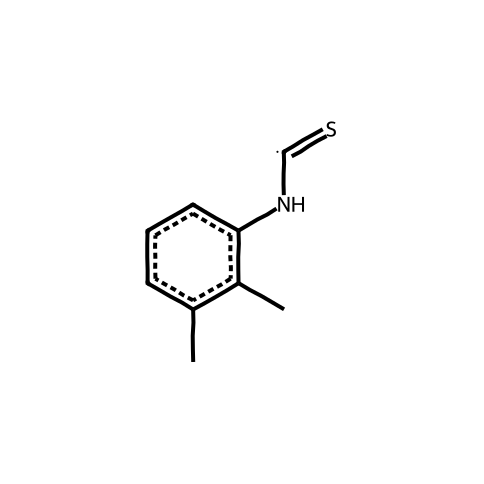 Cc1cccc(N[C]=S)c1C